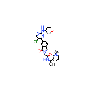 CC(=O)N1CCC[C@H]([C@@H](C)NC(=O)CN2Cc3ccc(-c4nc(NC5CCOCC5)ncc4Cl)cc3C2=O)C1